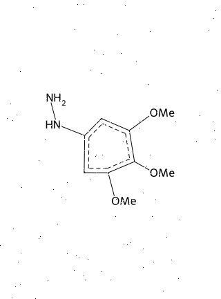 COc1cc(NN)cc(OC)c1OC